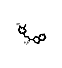 Cc1cc(CCC(N)C2CCc3ccccc3C2)ccc1O